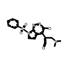 CN(C)CC(=C=O)c1c(Cl)nnc2c1ccn2S(=O)(=O)c1ccccc1